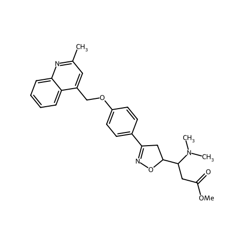 COC(=O)CC(C1CC(c2ccc(OCc3cc(C)nc4ccccc34)cc2)=NO1)N(C)C